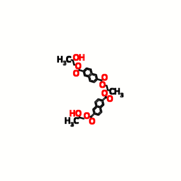 CC(O)COC(=O)c1ccc2cc(C(=O)OCC(C)OC(=O)c3ccc4cc(C(=O)OCC(C)O)ccc4c3)ccc2c1